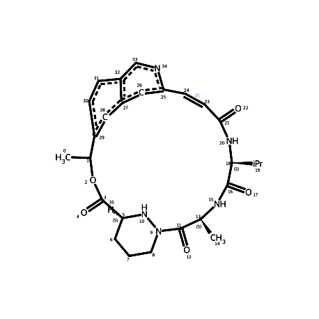 CC1OC(=O)[C@@H]2CCCN(N2)C(=O)[C@H](C)NC(=O)[C@H](C(C)C)NC(=O)/C=C\c2cc3cc1ccc3cn2